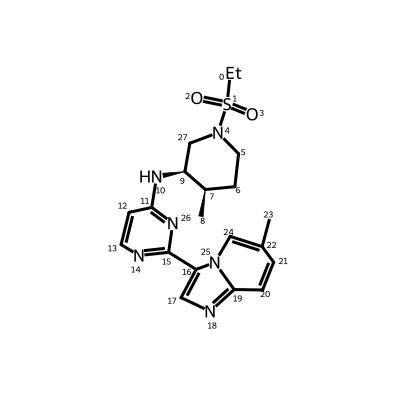 CCS(=O)(=O)N1CC[C@@H](C)[C@@H](Nc2ccnc(-c3cnc4ccc(C)cn34)n2)C1